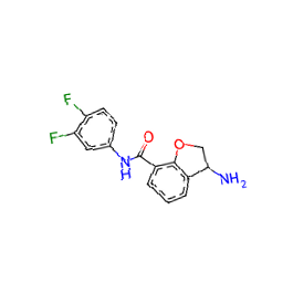 NC1COc2c(C(=O)Nc3ccc(F)c(F)c3)cccc21